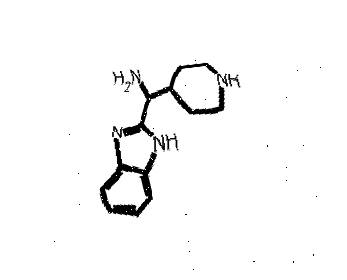 NC(c1nc2ccccc2[nH]1)C1CCNCC1